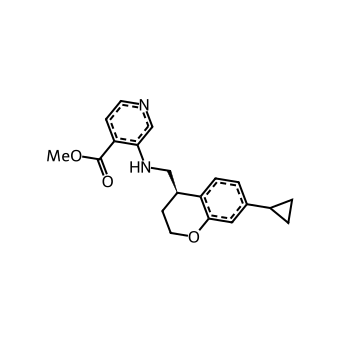 COC(=O)c1ccncc1NC[C@@H]1CCOc2cc(C3CC3)ccc21